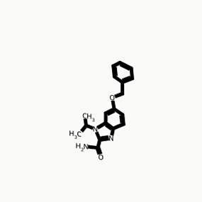 CC(C)n1c(C(N)=O)nc2ccc(OCc3ccccc3)cc21